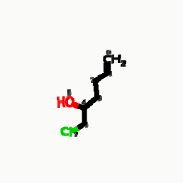 C=CCCC(O)CCl